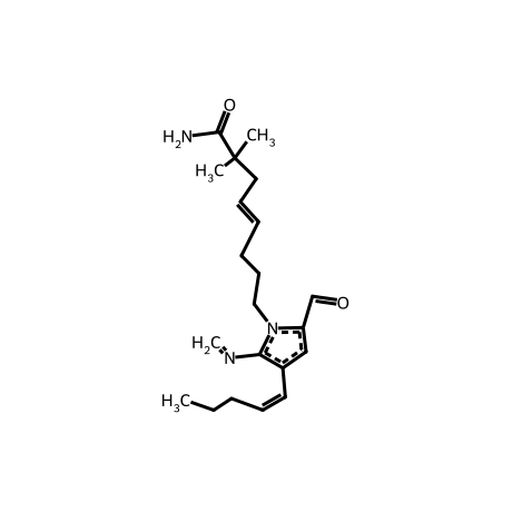 C=Nc1c(/C=C\CCC)cc(C=O)n1CCC/C=C/CC(C)(C)C(N)=O